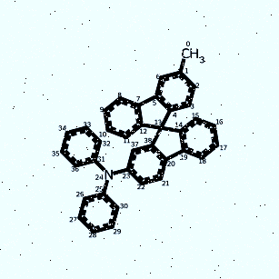 Cc1ccc2c(c1)-c1ccccc1C21c2ccccc2-c2ccc(N(c3ccccc3)c3ccccc3)cc21